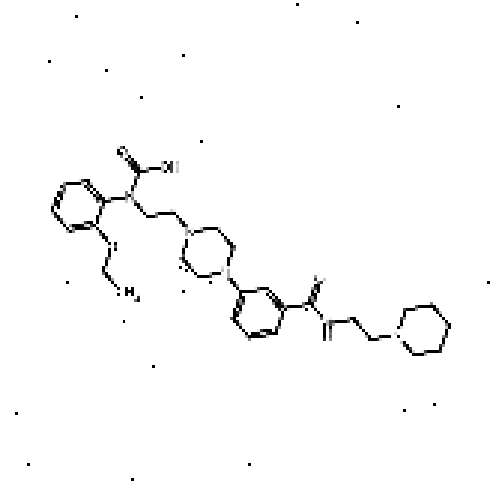 CCOc1ccccc1N(CCN1CCN(c2cccc(C(=O)NCCN3CCCCC3)c2)CC1)C(=O)O